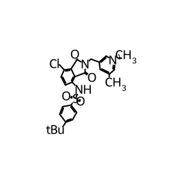 Cc1cc(CN2C(=O)c3c(Cl)ccc(NS(=O)(=O)c4ccc(C(C)(C)C)cc4)c3C2=O)c[n+](C)c1